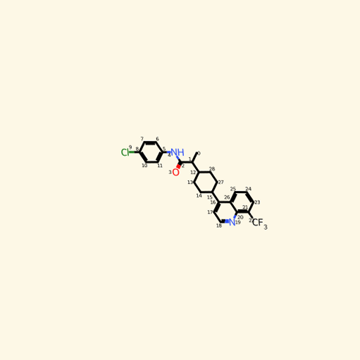 CC(C(=O)Nc1ccc(Cl)cc1)C1CCC(c2ccnc3c(C(F)(F)F)cccc23)CC1